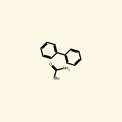 CCCCC(N)=O.c1ccc(-c2ccccc2)cc1